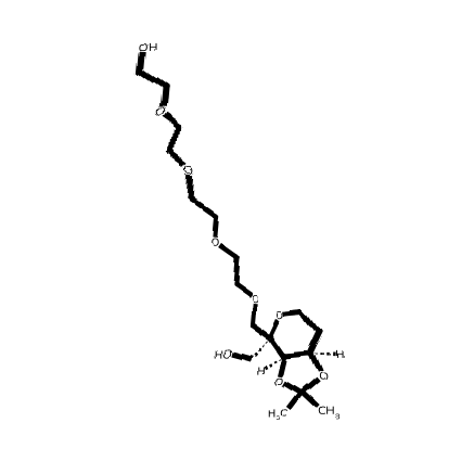 CC1(C)O[C@@H]2[C@@H](CCO[C@]2(CO)COCCOCCOCCOCCO)O1